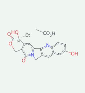 CC(=O)O.CC[C@@]1(O)C(=O)OCc2c1cc1n(c2=O)Cc2cc3cc(O)ccc3nc2-1